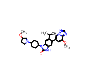 COc1cc(-c2cc3[nH]c(=O)n(C4CCC(N5CCC(OC)C5)CC4)c3cc2C(C)C)cn2ncnc12